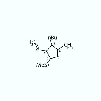 C=CC1C(SC)CC(C)C1CCCC